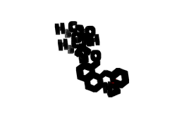 CCS(=O)(=O)NC1(C)CN(c2ccc3c(c2C=O)[C@@H](Cc2ccccc2)[C@@H](N2CCC2)CC3)C1